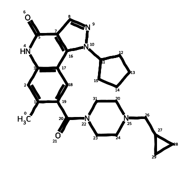 Cc1cc2[nH]c(=O)c3cnn(C4CCCC4)c3c2cc1C(=O)N1CCN(CC2CC2)CC1